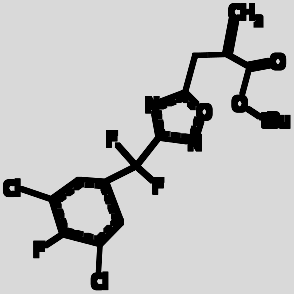 C=C(Cc1nc(C(F)(F)c2cc(Cl)c(F)c(Cl)c2)no1)C(=O)OC(C)(C)C